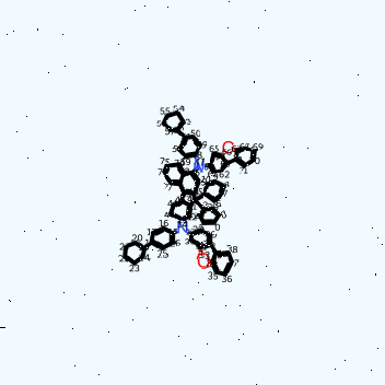 c1ccc(C2(c3ccccc3)c3cc(N(c4ccc(C5CCCCC5)cc4)c4ccc5c(c4)oc4ccccc45)ccc3-c3c2cc(N(c2ccc(C4CCCCC4)cc2)c2ccc4c(c2)oc2ccccc24)c2ccccc32)cc1